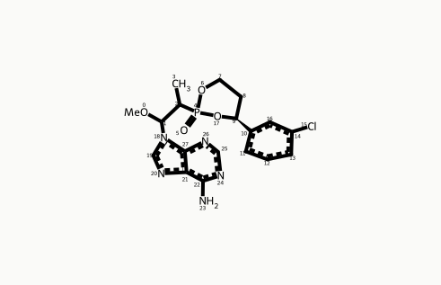 COC(C(C)P1(=O)OCC[C@@H](c2cccc(Cl)c2)O1)n1cnc2c(N)ncnc21